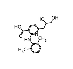 Cc1cccc(C)c1Nc1nc(CC(O)CO)ccc1C(=O)O